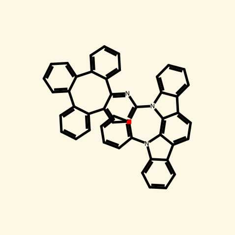 c1ccc(-n2c3ccccc3c3ccc4c5ccccc5n(-c5ncc6c(n5)-c5ccccc5-c5ccccc5-c5ccccc5-6)c4c32)cc1